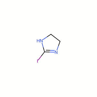 IC1=NCCN1